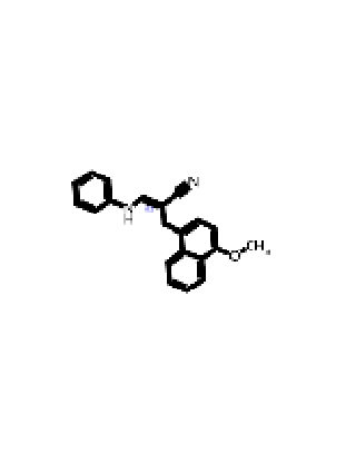 COc1ccc(C/C(C#N)=C\Nc2ccccc2)c2ccccc12